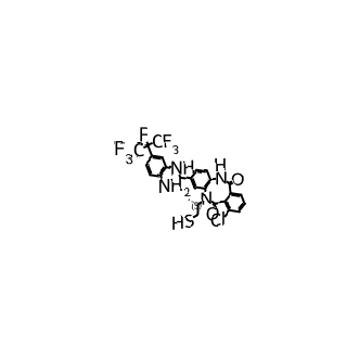 C[C@@H](CS)N1C(=O)c2c(Cl)cccc2C(=O)Nc2ccc(CNc3cc(C(F)(C(F)(F)F)C(F)(F)F)ccc3N)cc21